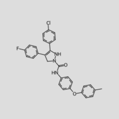 Cc1ccc(Oc2ccc(NC(=O)N3CC(c4ccc(F)cc4)=C(c4ccc(Cl)cc4)N3)cc2)cc1